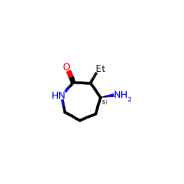 CCC1C(=O)NCCC[C@@H]1N